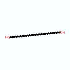 OCCCCCCCCCCCCCCCCCCCCCCCCCCCCCCCCCCCCCCCCCCCCO